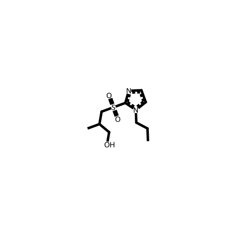 CCCn1ccnc1S(=O)(=O)CC(C)CO